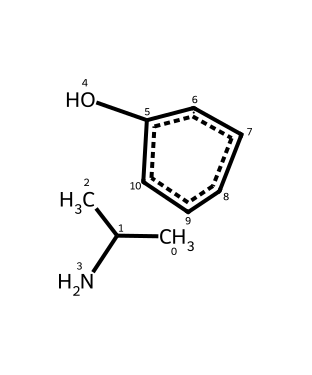 CC(C)N.Oc1[c]cccc1